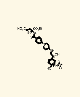 CCOC(=O)[C@](CC)(CCC(=O)O)NC(=O)c1ccc(N2CCC(NC[C@H](O)c3ccc(O)c(NS(C)(=O)=O)c3)CC2)cc1